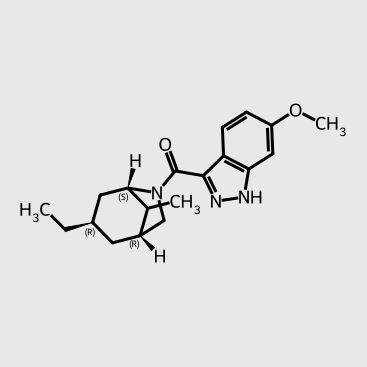 CC[C@@H]1C[C@H]2CN(C(=O)c3n[nH]c4cc(OC)ccc34)[C@@H](C1)C2C